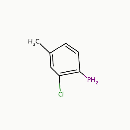 Cc1ccc(P)c(Cl)c1